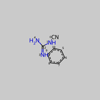 N#CNC(=N)N.c1ccccc1